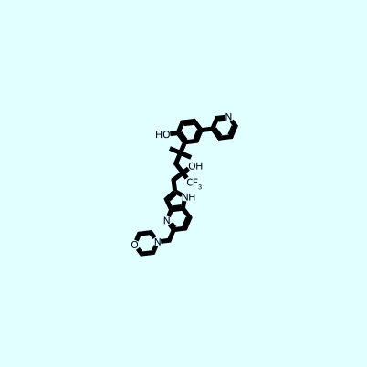 CC(C)(CC(O)(Cc1cc2nc(CN3CCOCC3)ccc2[nH]1)C(F)(F)F)c1cc(-c2cccnc2)ccc1O